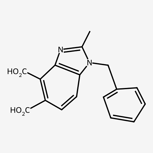 Cc1nc2c(C(=O)O)c(C(=O)O)ccc2n1Cc1ccccc1